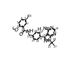 COc1ccc(F)cc1C(=O)NCc1ccc(-c2nn(C(C)(C)C)c3ncnc(N)c23)cc1